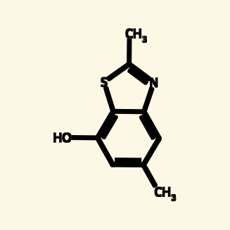 Cc1cc(O)c2sc(C)nc2c1